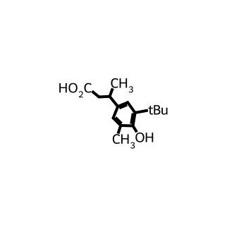 Cc1cc(C(C)CC(=O)O)cc(C(C)(C)C)c1O